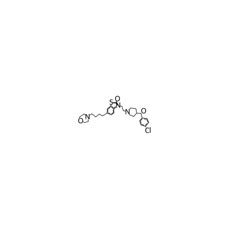 O=C(c1ccc(Cl)cc1)C1CCN(CCn2c(=O)sc3cc(CCCCN4CCOCC4)ccc32)CC1